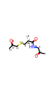 CC(=O)CNC(=O)[C@@H](C)CSCC(C)=O